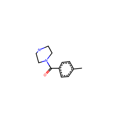 Cc1ccc(C(=O)N2CC[N]CC2)cc1